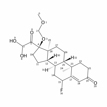 COCO[C@]1(C(=O)C(O)O)CC[C@H]2[C@@H]3CC(F)C4=CC(=O)CC[C@]4(C)[C@H]3CC[C@@]21C